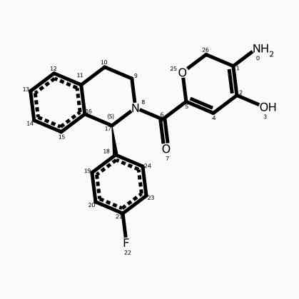 NC1=C(O)C=C(C(=O)N2CCc3ccccc3[C@@H]2c2ccc(F)cc2)OC1